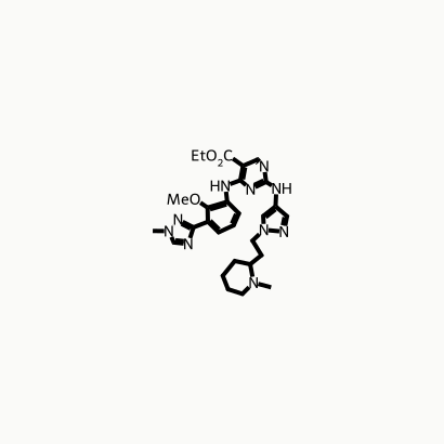 CCOC(=O)c1cnc(Nc2cnn(CCC3CCCCN3C)c2)nc1Nc1cccc(-c2ncn(C)n2)c1OC